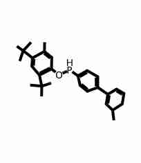 Cc1cc(OPc2ccc(C3=CC(C)CC=C3)cc2)c(C(C)(C)C)cc1C(C)(C)C